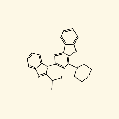 FC(F)c1nc2ccccc2n1-c1nc(N2CCOCC2)c2oc3ccccc3c2n1